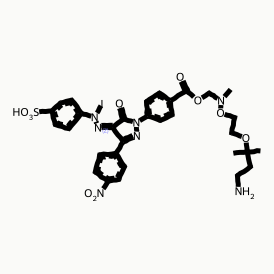 CN(COC(=O)c1ccc(N2N=C(c3ccc([N+](=O)[O-])cc3)/C(=N/N(I)c3ccc(S(=O)(=O)O)cc3)C2=O)cc1)OCCOC(C)(C)CCN